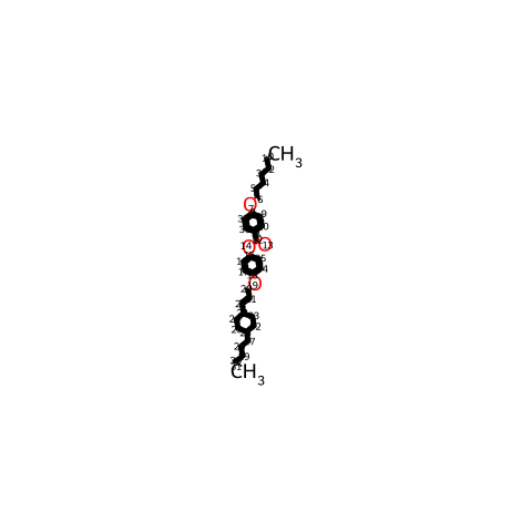 CCCCCCCOc1ccc(C(=O)Oc2ccc(OCC=CC3CCC(CCCCC)CC3)cc2)cc1